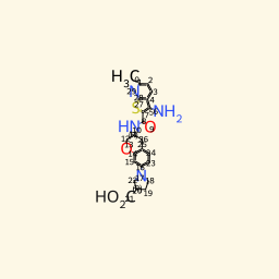 Cc1ccc2c(N)c(C(=O)N[C@H]3COc4cc(N5CC[C@@H](C(=O)O)C5)ccc4C3)sc2n1